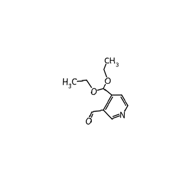 CCOC(OCC)c1ccncc1C=O